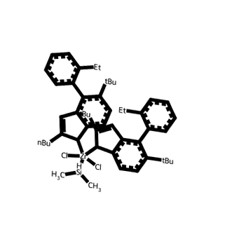 CCCCC1=Cc2c(ccc(C(C)(C)C)c2-c2ccccc2CC)[CH]1[Zr]([Cl])([Cl])([CH]1C(CCCC)=Cc2c1ccc(C(C)(C)C)c2-c1ccccc1CC)[SiH](C)C